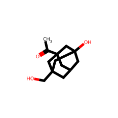 CC(=O)C12CC3CC(O)(CC(CO)(C3)C1)C2